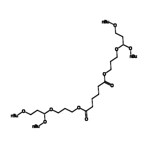 CCCCOCCC(OCCCC)OCCCOC(=O)CCCCC(=O)OCCCOC(CCOCCCC)OCCCC